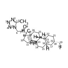 Cc1nnnn1CC(=O)[C@H]1CC[C@H]2[C@@H]3CC[C@H]4C[C@@H](CF)CC[C@@H]4[C@H]3CC[C@]12C